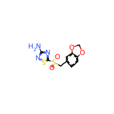 Nc1nsc(S(=O)(=O)Cc2ccc3c(c2)OCO3)n1